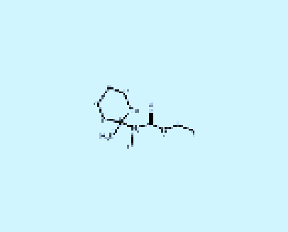 CCOC(=O)N(C)C1([SiH3])CCCCO1